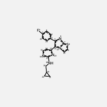 Fc1ccc(-c2nc3sccn3c2-c2ccnc(NCC3CC3)n2)cc1